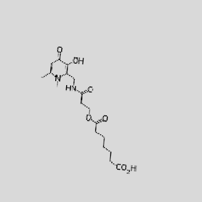 Cc1cc(=O)c(O)c(CNC(=O)CCOC(=O)CCCCCC(=O)O)n1C